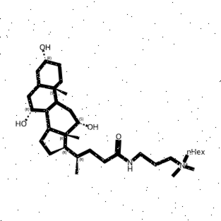 CCCCCC[N+](C)(C)CCCNC(=O)CC[C@@H](C)[C@H]1CCC2C3C(C[C@H](O)[C@@]21C)[C@@]1(C)CC[C@@H](O)CC1C[C@H]3O